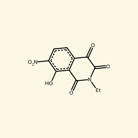 CCN1C(=O)C(=O)c2ccc([N+](=O)[O-])c(O)c2C1=O